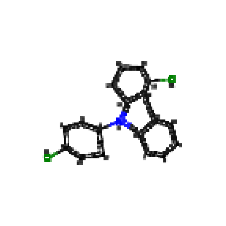 Clc1ccc(-n2c3ccccc3c3c(Cl)cccc32)cc1